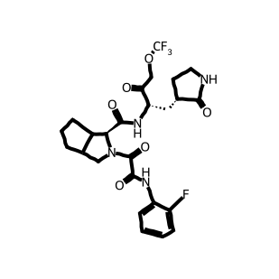 O=C(Nc1ccccc1F)C(=O)N1CC2CCCC2[C@H]1C(=O)N[C@@H](C[C@@H]1CCNC1=O)C(=O)COC(F)(F)F